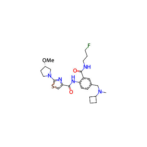 CO[C@H]1CCN(c2nc(C(=O)Nc3ccc(CN(C)C4CCC4)cc3C(=O)NCCCF)cs2)C1